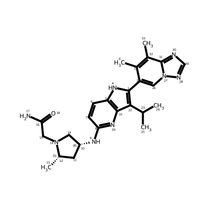 Cc1c(-c2[nH]c3ccc(N[C@@H]4C[C@H](C)N(CC(N)=O)C4)nc3c2C(C)C)cn2ncnc2c1C